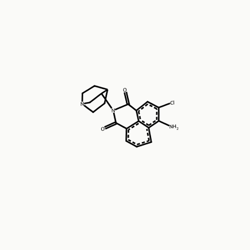 Nc1c(Cl)cc2c3c(cccc13)C(=O)N(C1CN3CCC1CC3)C2=O